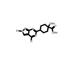 CCn1cc2c(Cl)nc(C3CCC(OC)(C(=O)OC)CC3)nc2n1